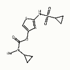 CC(C)(C)N(C(=O)Oc1csc(NS(=O)(=O)C2CC2)n1)C1CC1